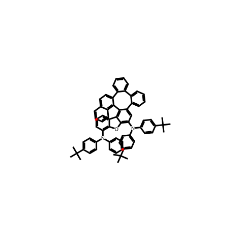 CC(C)(C)c1ccc(N(c2ccccc2)c2cccc3c2oc2c(N(c4ccc(C(C)(C)C)cc4)c4ccc(C(C)(C)C)cc4)cc4c(c23)-c2c(ccc3ccccc23)-c2ccccc2-c2ccccc2-4)cc1